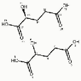 O=C(O)CCC(O)C(=O)O.O=C(O)CC[C@H](O)C(=O)O